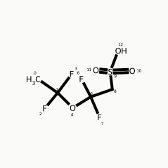 CC(F)(F)OC(F)(F)CS(=O)(=O)O